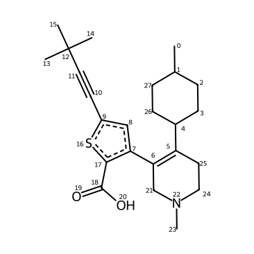 CC1CCC(C2=C(c3cc(C#CC(C)(C)C)sc3C(=O)O)CN(C)CC2)CC1